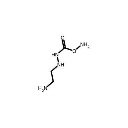 NCCNNC(=O)ON